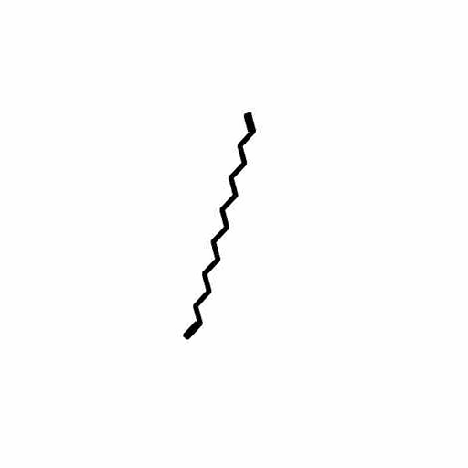 C=CCCCCCCCCCCCC=C